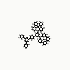 c1ccc(-c2nc(-c3ccccc3)nc(-c3ccc(-c4cc(N5c6ccccc6C(c6ccccc6)(c6ccccc6)c6ccccc65)nc(N5c6ccccc6C(c6ccccc6)(c6ccccc6)c6ccccc65)c4)cc3)n2)cc1